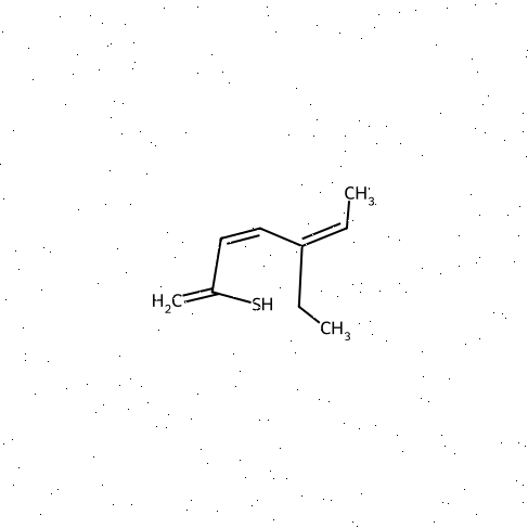 C=C(S)/C=C\C(=C/C)CC